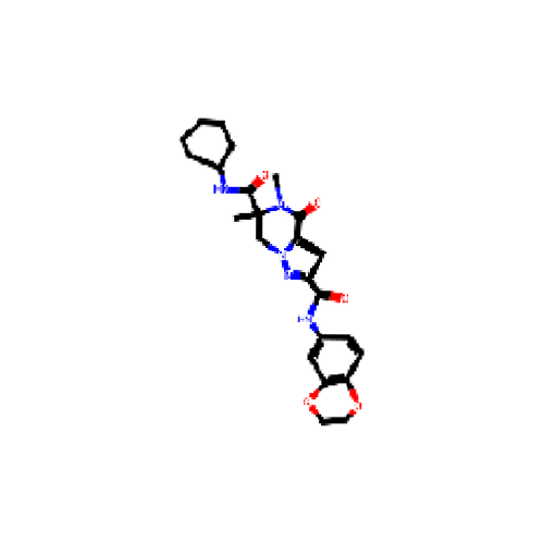 CN1C(=O)c2cc(C(=O)Nc3ccc4c(c3)OCCO4)nn2CC1(C)C(=O)NC1CCCCC1